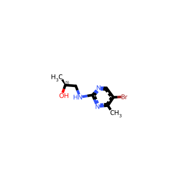 Cc1nc(NC[C@H](C)O)ncc1Br